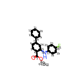 CC(C)(C)OC(=O)c1ccc(-c2ccccc2)cc1Nc1ccc(F)cc1